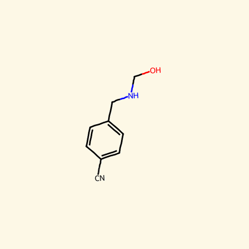 N#Cc1ccc(CNCO)cc1